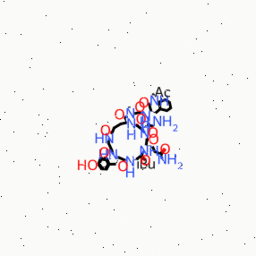 CC[C@H](C)[C@@H]1NC(=O)[C@H](Cc2ccc(O)cc2)NC(=O)CNC(=O)CC[C@@H](C(=O)N(C)CC(=O)N[C@@H](CC2CCCCC2)C(=O)NCC(C)=O)NC(=O)[C@H](CC(N)=O)NC(=O)[C@H](CCC(N)=O)NC1=O